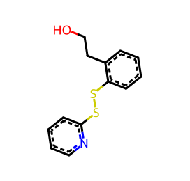 OCCc1ccccc1SSc1ccccn1